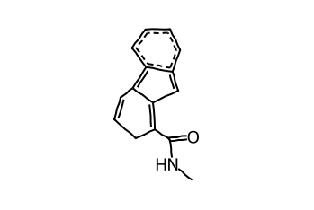 CNC(=O)C1=C2C=c3ccccc3=C2C=CC1